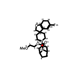 COCCOC(=O)N1C2CCC1CC(N1CCC3(CC1)COC1=C3C=C(F)CC1)C2